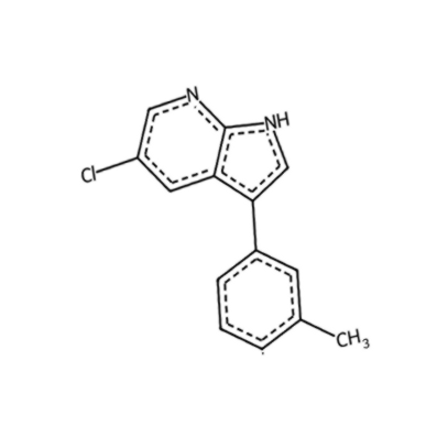 Cc1[c]ccc(-c2c[nH]c3ncc(Cl)cc23)c1